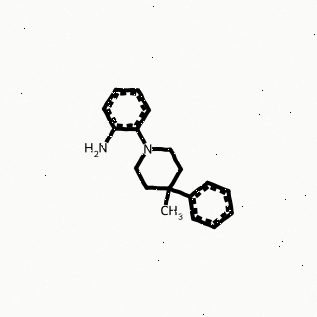 CC1(c2ccccc2)CCN(c2ccccc2N)CC1